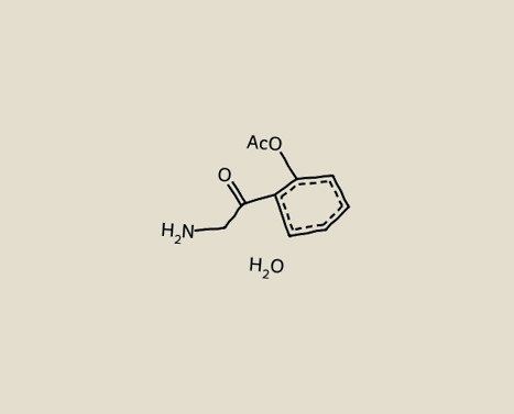 CC(=O)Oc1ccccc1C(=O)CN.O